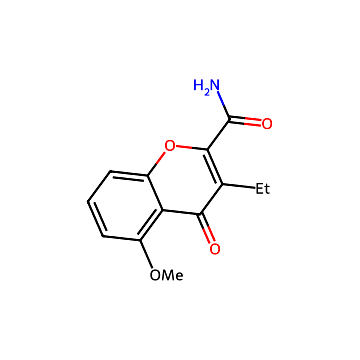 CCc1c(C(N)=O)oc2cccc(OC)c2c1=O